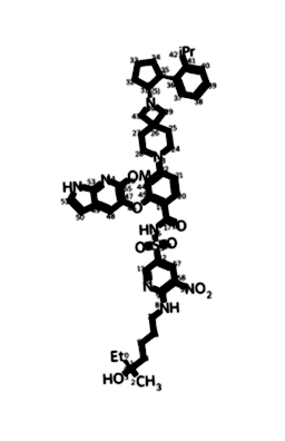 CC[C@@](C)(O)CCCCNc1ncc(S(=O)(=O)NC(=O)c2ccc(N3CCC4(CC3)CN([C@H]3CCC[C@H]3c3ccccc3C(C)C)C4)cc2Oc2cc3cc[nH]c3nc2OC)cc1[N+](=O)[O-]